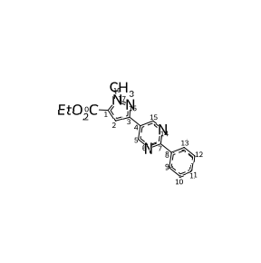 CCOC(=O)c1cc(-c2cnc(-c3ccccc3)nc2)nn1C